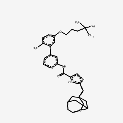 Cc1ccc(OCCCC(C)(C)O)cc1-c1ccnc(NC(=O)c2nnc(CC34CCC5CC(CC(C5)C3)C4)[nH]2)c1